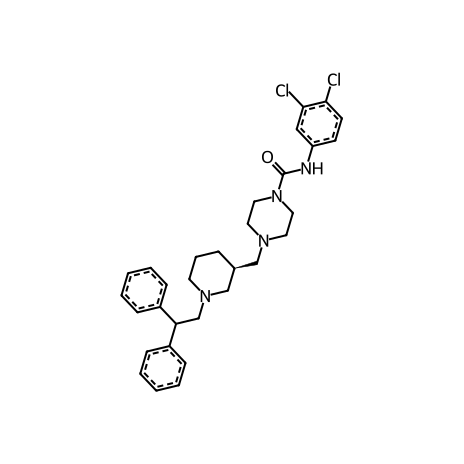 O=C(Nc1ccc(Cl)c(Cl)c1)N1CCN(C[C@@H]2CCCN(CC(c3ccccc3)c3ccccc3)C2)CC1